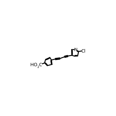 O=C(O)c1ccc(C#CC#Cc2ccc(Cl)nc2)cc1